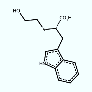 O=C(O)[C@H](Cc1c[nH]c2ccccc12)SCCO